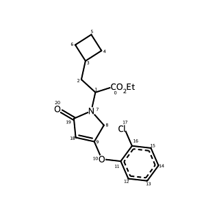 CCOC(=O)C(CC1CCC1)N1CC(Oc2ccccc2Cl)=CC1=O